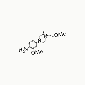 COCCN1CCN(c2ccc(N)c(OC)c2)C[C@H]1C